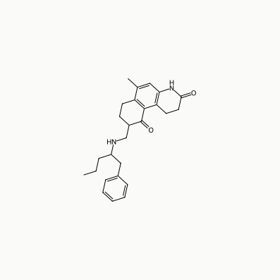 CCCC(Cc1ccccc1)NCC1CCc2c(C)cc3c(c2C1=O)CCC(=O)N3